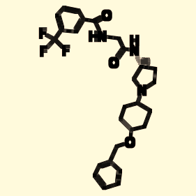 O=C(CNC(=O)c1cccc(C(F)(F)F)c1)N[C@@H]1CCN(C2CCC(OCc3ccccc3)CC2)C1